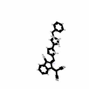 N#CC(C#N)=C1/C(=C/c2ccc(-c3cn(Cc4ccccc4)nn3)s2)C(=O)c2ccccc21